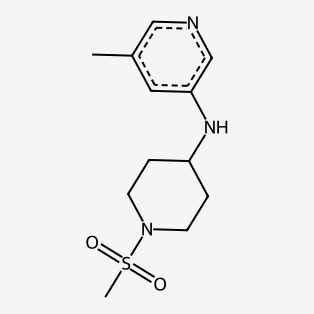 Cc1cncc(NC2CCN(S(C)(=O)=O)CC2)c1